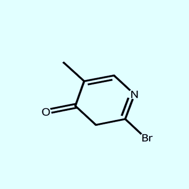 CC1=CN=C(Br)CC1=O